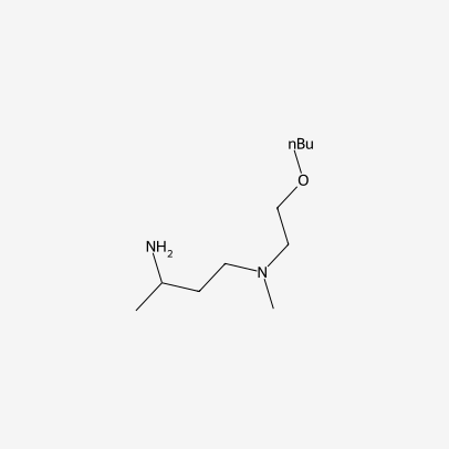 CCCCOCCN(C)CCC(C)N